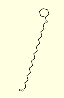 OCCCCCCCCCCCCCCCCOCOC1CCCCC1